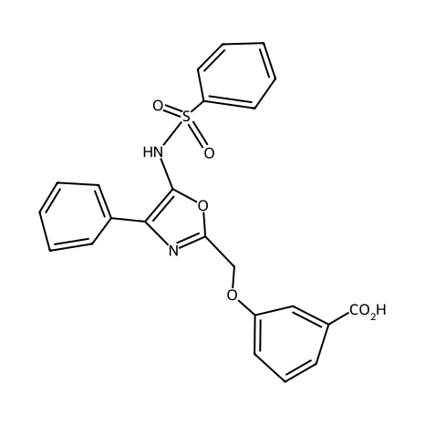 O=C(O)c1cccc(OCc2nc(-c3ccccc3)c(NS(=O)(=O)c3ccccc3)o2)c1